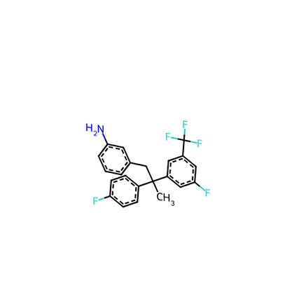 CC(Cc1cccc(N)c1)(c1ccc(F)cc1)c1cc(F)cc(C(F)(F)F)c1